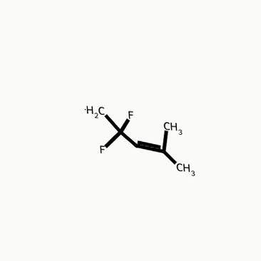 [CH2]C(F)(F)C=C(C)C